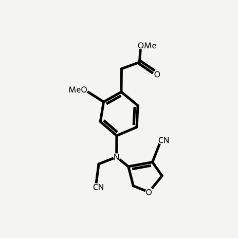 COC(=O)Cc1ccc(N(CC#N)C2=C(C#N)COC2)cc1OC